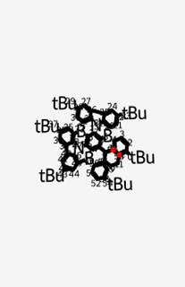 CC(C)(C)c1ccc(B2c3c(C4CCCCC4)c4c5c6c3-n3c7c2cc(C(C)(C)C)cc7c2cc(C(C)(C)C)cc(c23)B6c2cc(C(C)(C)C)cc3c6cc(C(C)(C)C)cc(c6n-5c23)B4c2ccc(C(C)(C)C)cc2)cc1